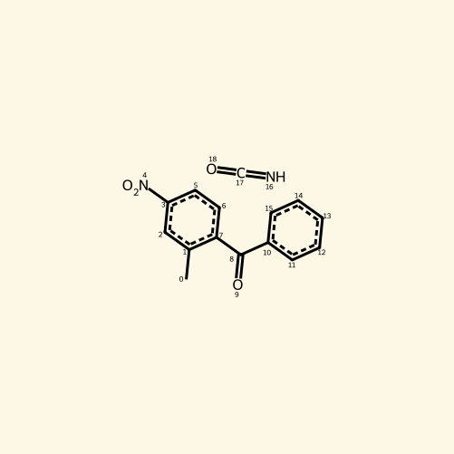 Cc1cc([N+](=O)[O-])ccc1C(=O)c1ccccc1.N=C=O